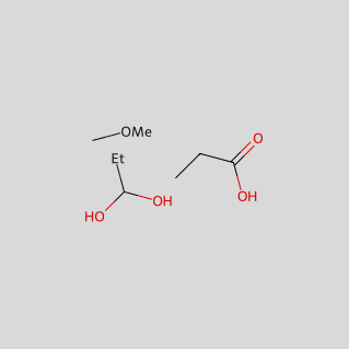 CCC(=O)O.CCC(O)O.COC